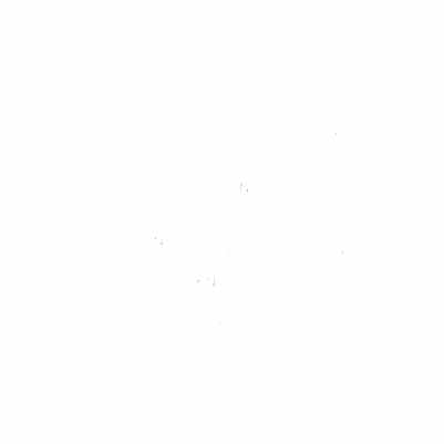 NC(c1ccccn1)c1nccc2scc(-c3ccccc3)c12